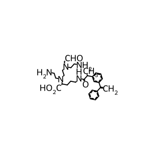 C=C(c1ccccc1)c1cccc(C(C)C(=O)NCCCC(C(=O)O)N(CCN)CCN(CC=O)CCN)c1